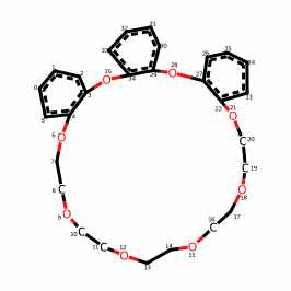 c1ccc2c(c1)OCCOCCOCCOCCOCCOc1ccccc1Oc1ccccc1O2